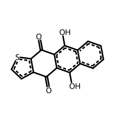 O=C1c2ccsc2C(=O)c2c1c(O)c1ccccc1c2O